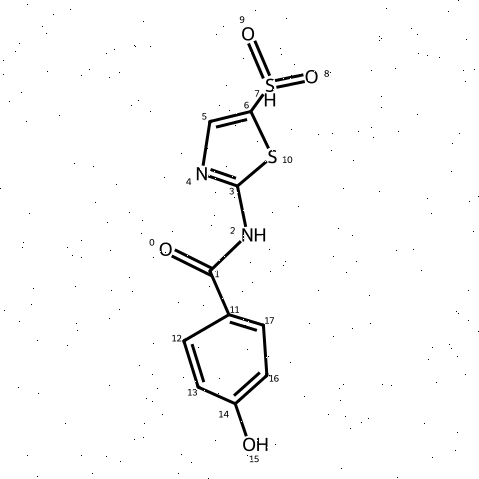 O=C(Nc1ncc([SH](=O)=O)s1)c1ccc(O)cc1